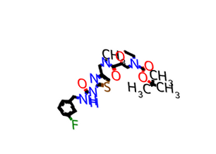 CN(Cc1csc(NC(=O)NCc2cccc(F)c2)n1)C(=O)C1CN(C(=O)OC(C)(C)C)CCO1